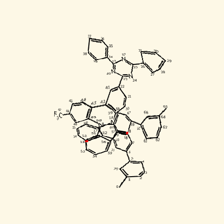 Cc1cccc(-c2ccc3c(c2)c2ccccc2n3-c2ccc(-c3nc(-c4ccccc4)nc(-c4ccccc4)n3)cc2-c2ccc(C(F)(F)F)cc2-n2c3ccccc3c3cc(-c4cccc(C)c4)ccc32)c1